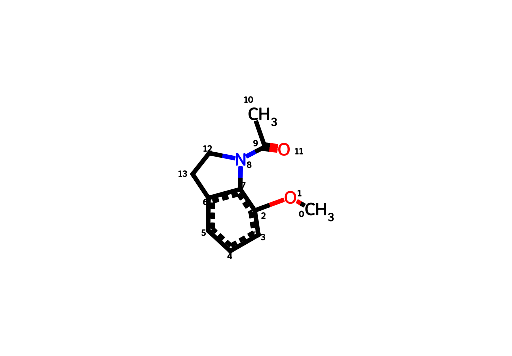 COc1cccc2c1N(C(C)=O)CC2